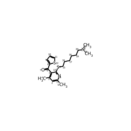 Cc1cc(C)c(C(=O)c2cccs2)c(SCCCCCCN(C)C)n1